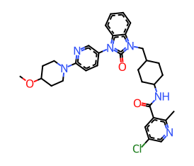 COC1CCN(c2ccc(-n3c(=O)n(CC4CCC(NC(=O)c5cc(Cl)cnc5C)CC4)c4ccccc43)cn2)CC1